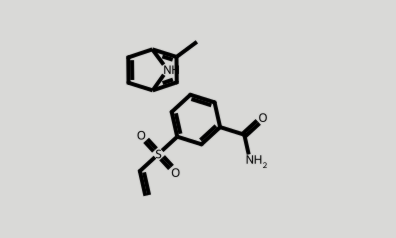 C=CS(=O)(=O)c1cccc(C(N)=O)c1.Cc1cc2ccc1[nH]2